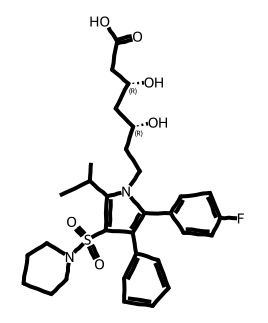 CC(C)c1c(S(=O)(=O)N2CCCCC2)c(-c2ccccc2)c(-c2ccc(F)cc2)n1CC[C@@H](O)C[C@@H](O)CC(=O)O